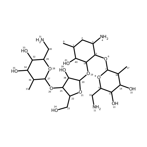 CC1CC(N)C(OC2OC(CN)C(O)C(O)C2C)C(OC2OC(CO)C(OC3OC(CN)C(O)C(O)C3C)C2O)C1O